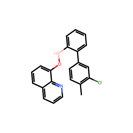 Cc1ccc(-c2ccccc2BOc2cccc3cccnc23)cc1Cl